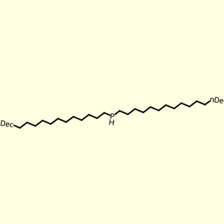 CCCCCCCCCCCCCCCCCCCCCCPCCCCCCCCCCCCCCCCCCCCCC